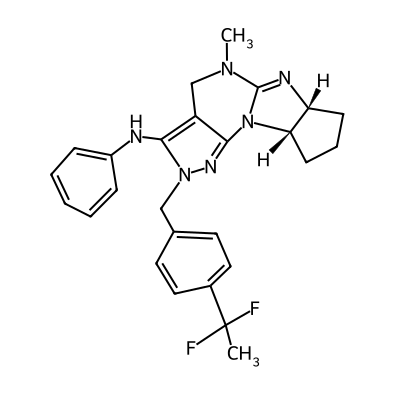 CN1Cc2c(nn(Cc3ccc(C(C)(F)F)cc3)c2Nc2ccccc2)N2C1=N[C@@H]1CCC[C@@H]12